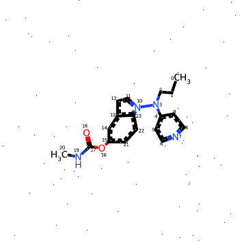 CCCN(c1ccncc1)n1ccc2cc(OC(=O)NC)ccc21